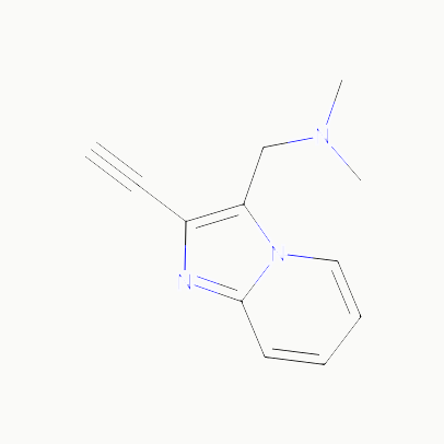 [C]#Cc1nc2ccccn2c1CN(C)C